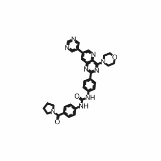 O=C(Nc1ccc(C(=O)N2CCCC2)cc1)Nc1ccc(-c2nc(N3CCOCC3)c3ncc(-c4cncnc4)cc3n2)cc1